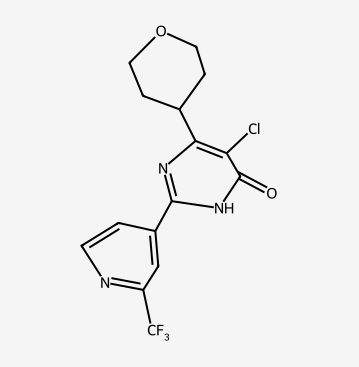 O=c1[nH]c(-c2ccnc(C(F)(F)F)c2)nc(C2CCOCC2)c1Cl